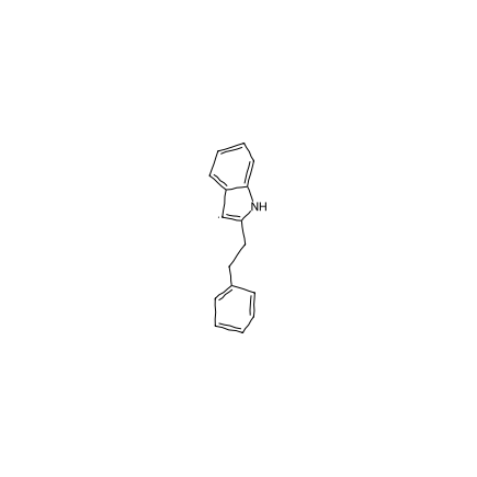 [c]1c(CCc2ccccc2)[nH]c2ccccc12